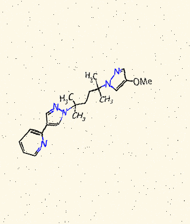 COc1cnn(C(C)(C)CCC(C)(C)n2cc(-c3ccccn3)cn2)c1